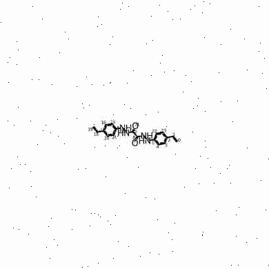 C=Cc1ccc(NNC(=O)C(=O)NNc2ccc(C=C)cc2)cc1